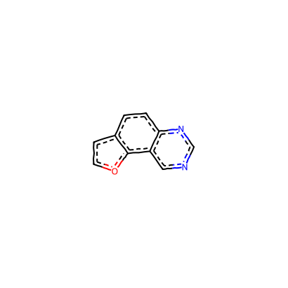 c1ncc2c(ccc3ccoc32)n1